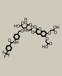 O=C(O)COc1cc2cc(OC(=O)N[C@H](C(=O)O)[C@H](OCc3ccc(NC(=O)c4ccc(C(F)(F)F)cc4)cc3)C(=O)O)c(=O)oc2cc1OCC(=O)O